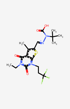 CCn1c(=O)c2c(C)c(/C=N/N(C(=O)O)C(C)(C)C)sc2n(CCC(F)(F)F)c1=O